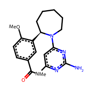 CNC(=O)c1ccc(OC)c([C@H]2CCCCCN2c2cc(C)nc(N)n2)c1